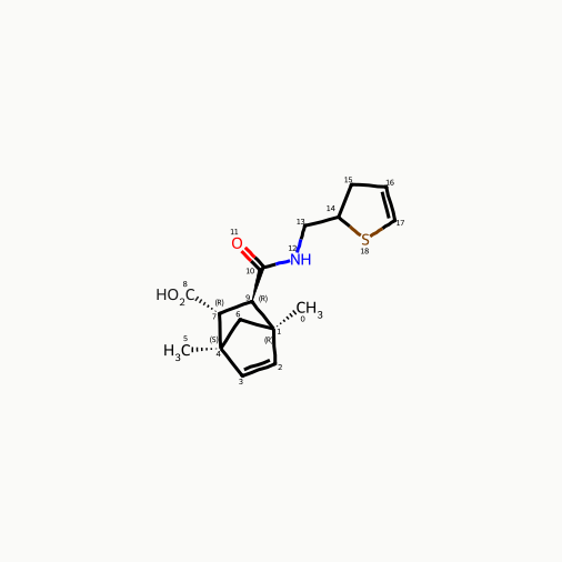 C[C@]12C=C[C@](C)(C1)[C@H](C(=O)O)[C@H]2C(=O)NCC1CC=CS1